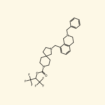 O=C(OC(C(F)(F)F)C(F)(F)F)N1CCC2(CCN(Cc3cccc4c3CN(Cc3ccccc3)CC4)C2)CC1